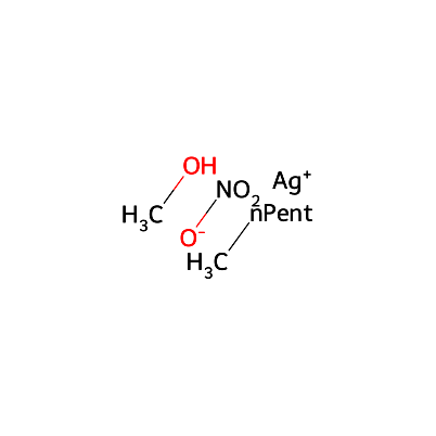 CCCCCC.CO.O=[N+]([O-])[O-].[Ag+]